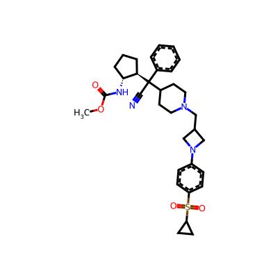 COC(=O)N[C@@H]1CCC[C@H]1C(C#N)(c1ccccc1)C1CCN(CC2CN(c3ccc(S(=O)(=O)C4CC4)cc3)C2)CC1